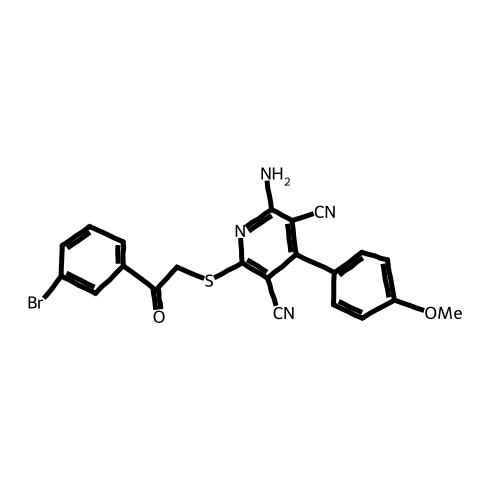 COc1ccc(-c2c(C#N)c(N)nc(SCC(=O)c3cccc(Br)c3)c2C#N)cc1